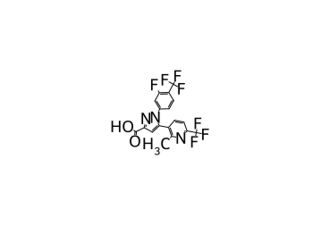 Cc1nc(C(F)(F)F)ccc1-c1cc(C(=O)O)nn1-c1ccc(C(F)(F)F)c(F)c1